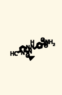 C#Cc1ccc2nc(NCc3ccc(S(N)(=O)=O)cc3)nc(OC3CC3)c2n1